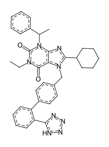 CCn1c(=O)c2c(nc(C3CCCCC3)n2Cc2ccc(-c3ccccc3-c3nnn[nH]3)cc2)n(C(C)c2ccccc2)c1=O